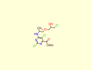 COC(=O)c1nc(Cl)nc(NC(C)COCC(O)CCl)c1Cl